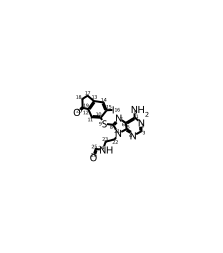 Nc1ncnc2c1nc(Sc1cc3c(cc1I)CCC3=O)n2CCNC=O